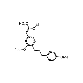 CCCCOc1cc(C=C(OCC)C(=O)O)ccc1CCCc1ccc(OC)cc1